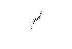 COc1ccc(CC(=O)NC(=S)Nc2ccc(S(=O)(=O)NCCc3ccccc3)cc2)cc1